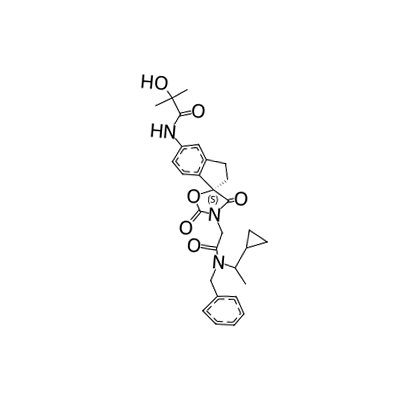 CC(C1CC1)N(Cc1ccccc1)C(=O)CN1C(=O)O[C@]2(CCc3cc(NC(=O)C(C)(C)O)ccc32)C1=O